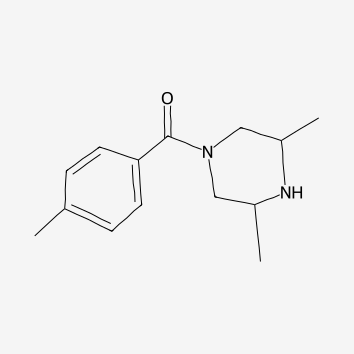 Cc1ccc(C(=O)N2CC(C)NC(C)C2)cc1